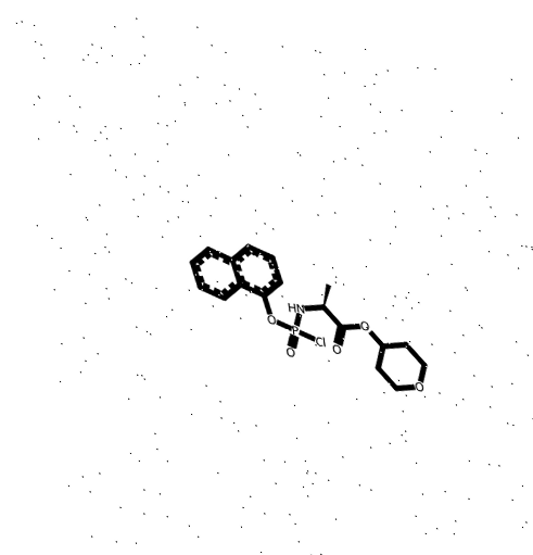 C[C@H](NP(=O)(Cl)Oc1cccc2ccccc12)C(=O)OC1CCOCC1